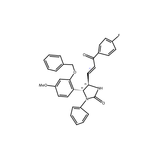 COc1ccc([C@@H]2[C@@H](/C=C/C(=O)c3ccc(F)cc3)NC(=O)N2c2ccccc2)c(OCc2ccccc2)c1